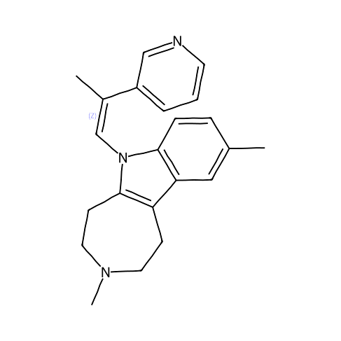 C/C(=C/n1c2c(c3cc(C)ccc31)CCN(C)CC2)c1cccnc1